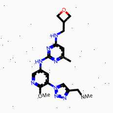 CNCc1cn(-c2cc(Nc3nc(C)cc(NCC4COC4)n3)cnc2OC)nn1